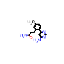 Bc1ccc(-c2cc(N)ncn2)c(CCC(N)=O)c1